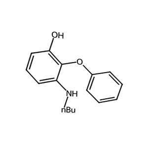 CCCCNc1cccc(O)c1Oc1ccccc1